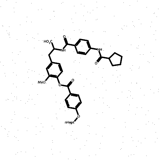 CCCCCCCOc1ccc(C(=O)Oc2ccc(CC(NC(=O)c3ccc(NC(=O)C4CCCC4)cc3)C(=O)O)cc2OC)cc1